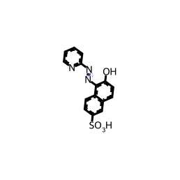 O=S(=O)(O)c1ccc2c(/N=N/c3ccccn3)c(O)ccc2c1